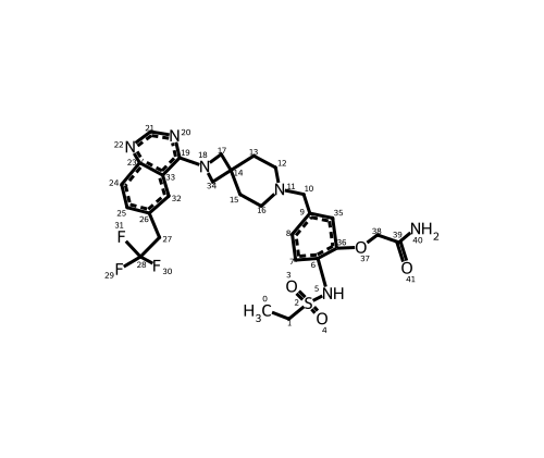 CCS(=O)(=O)Nc1ccc(CN2CCC3(CC2)CN(c2ncnc4ccc(CC(F)(F)F)cc24)C3)cc1OCC(N)=O